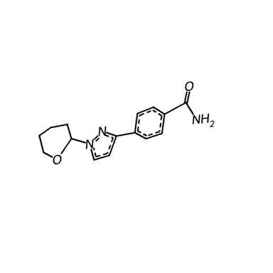 NC(=O)c1ccc(-c2ccn(C3CCCCO3)n2)cc1